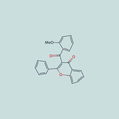 COc1ccccc1C(=O)c1c(-c2ccccc2)oc2ccccc2c1=O